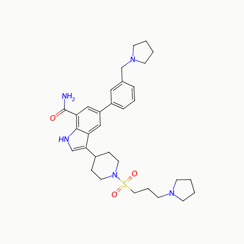 NC(=O)c1cc(-c2cccc(CN3CCCC3)c2)cc2c(C3CCN(S(=O)(=O)CCCN4CCCC4)CC3)c[nH]c12